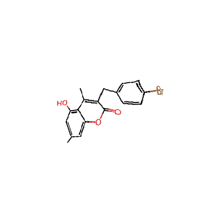 Cc1cc(O)c2c(C)c(Cc3ccc(Br)cc3)c(=O)oc2c1